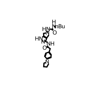 CCCCNC(=O)NN1Cc2[nH]nc(NC(=O)Cc3ccc(N4CCCC4)cc3)c2C1